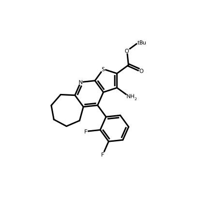 CC(C)(C)OC(=O)c1sc2nc3c(c(-c4cccc(F)c4F)c2c1N)CCCCC3